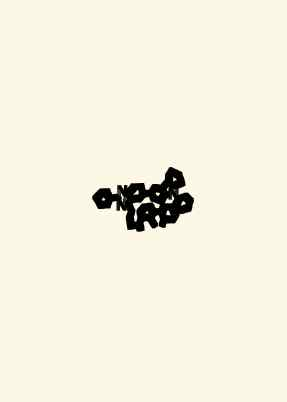 C=C(/C=C\Cc1nc(-c2ccccc2)nc2c1=CC(C1C=c3c(n(-c4ccccc4)c4ccccc34)=CC1)CC=2)c1cccc(-c2ccccc2C)c1C